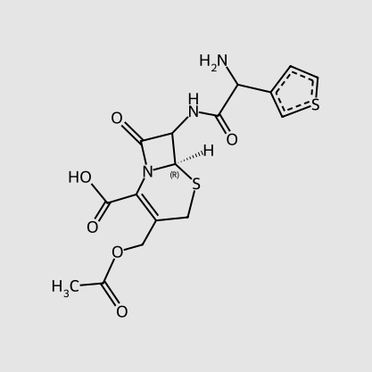 CC(=O)OCC1=C(C(=O)O)N2C(=O)C(NC(=O)C(N)c3ccsc3)[C@H]2SC1